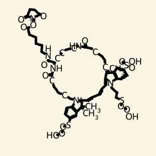 CC1(C)C2=[N+](CCCCCC(=O)NC(C(=O)NCCCCCC(=O)ON3C(=O)CCC3=O)CCCCNC(=O)CCCCCC3(C)/C(=C/C=C/C=C/2)N(CCCSOOO)c2ccc(S(=O)(=O)O)cc23)c2ccc(SOOO)cc21